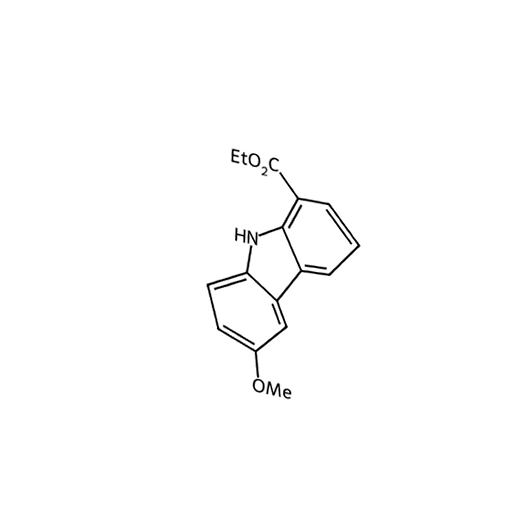 CCOC(=O)c1cccc2c1[nH]c1ccc(OC)cc12